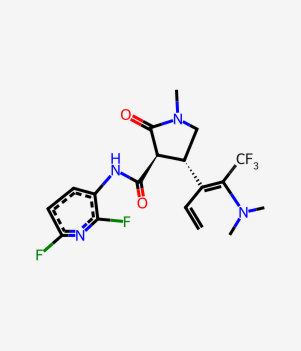 C=C/C(=C(\N(C)C)C(F)(F)F)[C@H]1CN(C)C(=O)[C@@H]1C(=O)Nc1ccc(F)nc1F